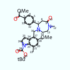 COC(=O)c1ccc(C2CC(=O)N(C)CCN2Cc2c(OC)cc(C)c3c2ccn3C(=O)OC(C)(C)C)cc1